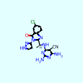 C[C@H](Nc1nc(N)nc(N)c1C#N)c1nc2ccc(Cl)cc2c(=O)n1-c1cc[nH]n1